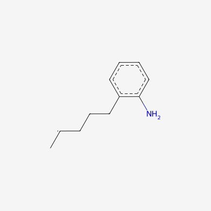 C[CH]CCCc1ccccc1N